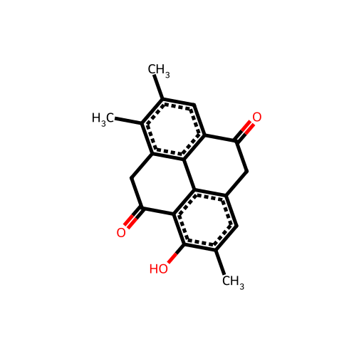 Cc1cc2c3c(c1C)CC(=O)c1c(O)c(C)cc(c1-3)CC2=O